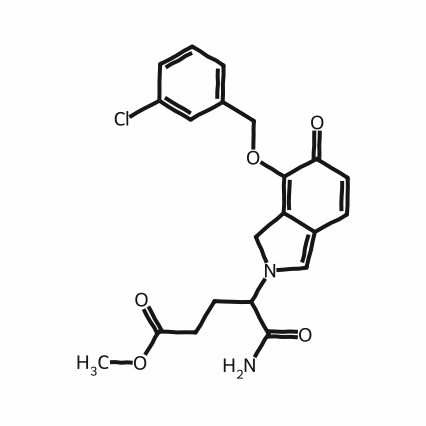 COC(=O)CCC(C(N)=O)N1C=C2C=CC(=O)C(OCc3cccc(Cl)c3)=C2C1